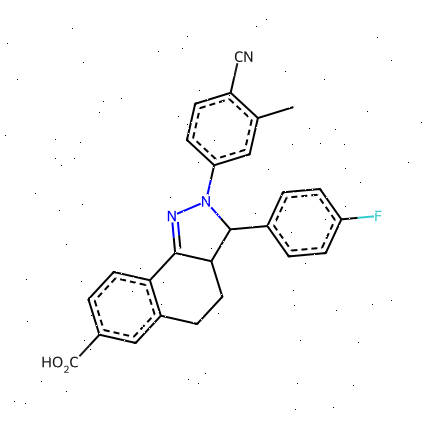 Cc1cc(N2N=C3c4ccc(C(=O)O)cc4CCC3C2c2ccc(F)cc2)ccc1C#N